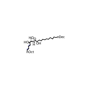 CCCCCCCC/C=C/C=C/[C@@H](O)[C@H](CO)NC(=O)C(O)CCCCCCCCCCCCCCCCCCCC